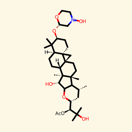 CC(=O)O[C@@H]([C@H]1C[C@@H](C)C2C(O1)[C@H](O)[C@@]1(C)[C@@H]3CC[C@H]4C(C)(C)[C@@H](O[C@H]5CN(O)CCO5)CC[C@@]45C[C@@]35CC[C@]21C)C(C)(C)O